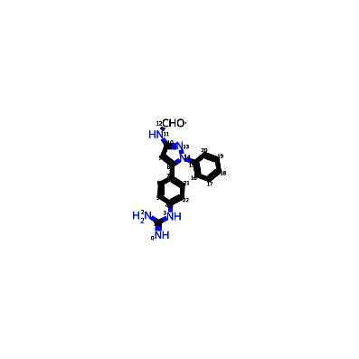 N=C(N)Nc1ccc(-c2cc(N[C]=O)nn2-c2ccccc2)cc1